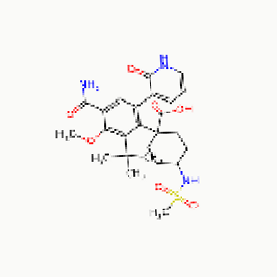 COc1c(C(N)=O)cc(-c2ccc[nH]c2=O)c(C2(C(=O)O)CCC(NS(C)(=O)=O)CC2)c1C(C)(C)C